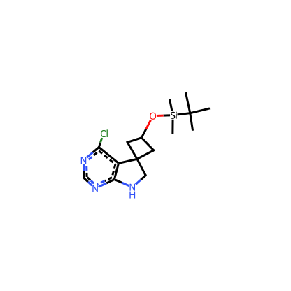 CC(C)(C)[Si](C)(C)OC1CC2(CNc3ncnc(Cl)c32)C1